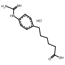 Cl.N=C(N)Nc1ccc(CCCCCC(=O)O)cc1